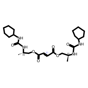 C[C@@H](COC(=O)/C=C/C(=O)OC[C@H](C)NC(=O)NC1CCCCC1)NC(=O)NC1CCCCC1